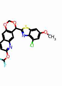 COc1cc(Cl)c2nc(C3OCOc4cc5ccc(OC(F)F)nc5cc43)sc2c1